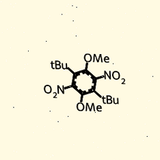 COc1c([N+](=O)[O-])c(C(C)(C)C)c(OC)c([N+](=O)[O-])c1C(C)(C)C